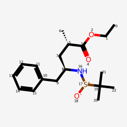 CCOC(=O)[C@@H](C)C[C@H](Cc1ccccc1)N[S+]([O-])C(C)(C)C